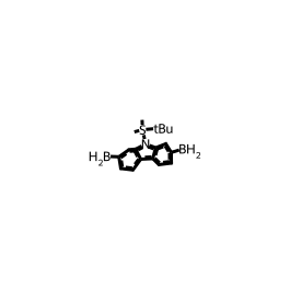 Bc1ccc2c3ccc(B)cc3n(S(C)(C)C(C)(C)C)c2c1